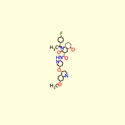 COc1ccc2c(Oc3ccc(NC(=O)c4cc5c(n([C@H](C)c6ccc(F)cc6)c4=O)CCCC5=O)nc3)ccnc2c1